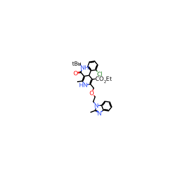 CCOC(=O)C1=C(COCCn2c(C)nc3ccccc32)NC(C)=C(C(=O)NC(C)(C)C)C1c1ccccc1Cl